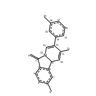 C=C1c2ccc(C)cc2C2C=C(C)C(c3cccc(C)c3)=CN12